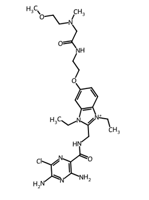 CCn1c(CNC(=O)c2nc(Cl)c(N)nc2N)[n+](CC)c2ccc(OCCNC(=O)CN(C)CCOC)cc21